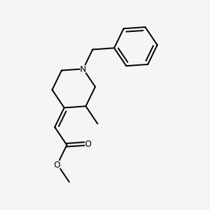 COC(=O)/C=C1/CCN(Cc2ccccc2)CC1C